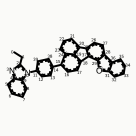 CCc1nc2ccccc2n1-c1ccc(-c2ccc3c4c(cccc24)-c2ccc4c(oc5ccccc54)c2-3)cc1